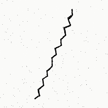 CC=CCCCCCCCCCCCCCCCC